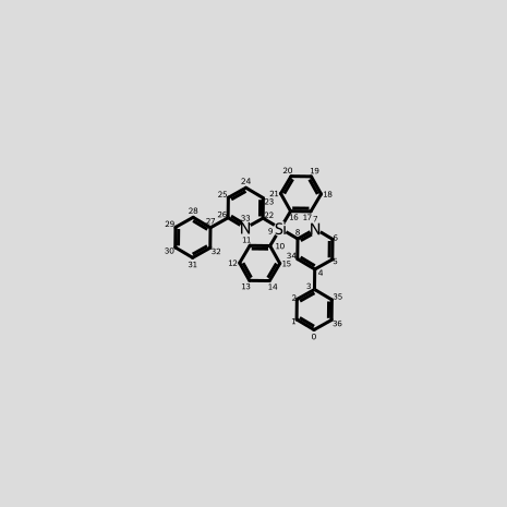 c1ccc(-c2ccnc([Si](c3ccccc3)(c3ccccc3)c3cccc(-c4ccccc4)n3)c2)cc1